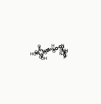 N#C[C@@H]1CC(F)(F)CN1C(=O)CNC(=O)c1ccnc2ccc(-c3ccc(C(=O)NCCN4CCN(C(=O)CN5CCN(CC=O)CCN(CC(=O)O)CCN(CC(=O)O)CC5)CC4)cc3)cc12